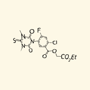 CCOC(=O)COC(=O)c1cc(-n2c(=O)n(C)c(=S)n(C)c2=O)c(F)cc1Cl